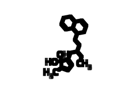 CCC(CCC1CC=CC2CCC=CC21)CC1=CC=C(C)C1(O)O